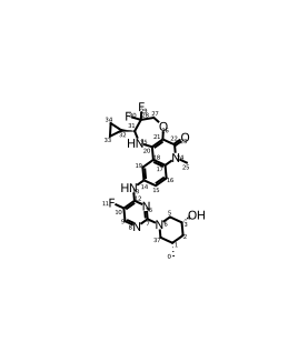 C[C@H]1C[C@@H](O)CN(c2ncc(F)c(Nc3ccc4c(c3)c3c(c(=O)n4C)OCC(F)(F)[C@H](C4CC4)N3)n2)C1